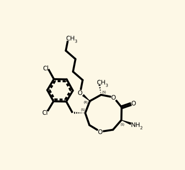 CCCCCO[C@@H]1[C@@H](Cc2ccc(Cl)cc2Cl)COC[C@H](N)C(=O)O[C@H]1C